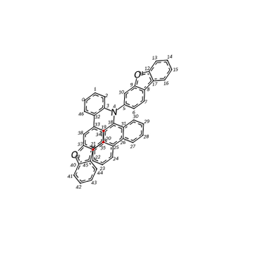 c1ccc(N(c2ccc3c(c2)oc2ccccc23)c2cc3ccccc3c3ccccc23)c(-c2ccc3c(c2)oc2ccccc23)c1